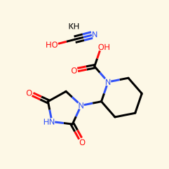 N#CO.O=C1CN(C2CCCCN2C(=O)O)C(=O)N1.[KH]